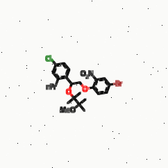 CCCc1cc(Cl)ccc1C(COc1ccc(Br)cc1[N+](=O)[O-])OC(C)(C)C(C)(C)OC